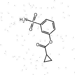 NS(=O)(=O)c1cccc(OC(=O)C2CC2)c1